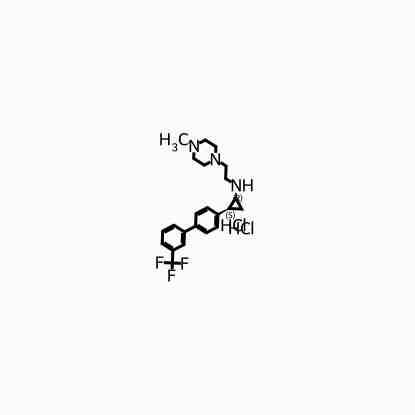 CN1CCN(CCN[C@@H]2C[C@H]2c2ccc(-c3cccc(C(F)(F)F)c3)cc2)CC1.Cl.Cl